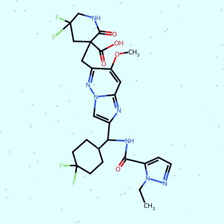 CCn1nccc1C(=O)NC(c1cn2nc(CC3(C(=O)O)CC(F)(F)CNC3=O)c(OC)cc2n1)C1CCC(F)(F)CC1